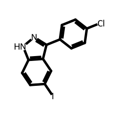 Clc1ccc(-c2n[nH]c3ccc(I)cc23)cc1